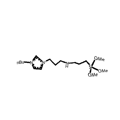 CCCCn1cc[n+](CCCNCCC[Si](OC)(OC)OC)c1